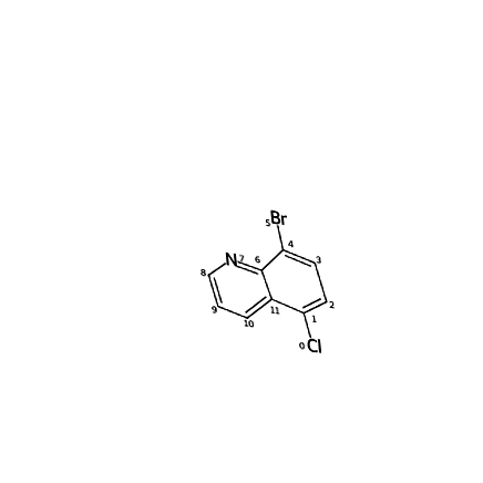 Clc1ccc(Br)c2ncccc12